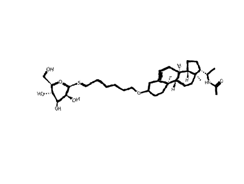 CC(=O)NC(C)[C@H]1CC[C@H]2[C@@H]3CC=C4CC(OCCCCCCS[C@@H]5O[C@H](CO)[C@@H](O)[C@H](O)[C@@H]5O)CC[C@]4(C)[C@H]3CC[C@]12C